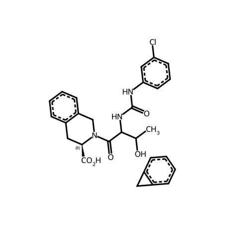 CC(O)C(NC(=O)Nc1cccc(Cl)c1)C(=O)N1Cc2ccccc2C[C@@H]1C(=O)O.c1ccc2c(c1)C2